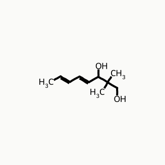 CC=CC=CC(O)C(C)(C)CO